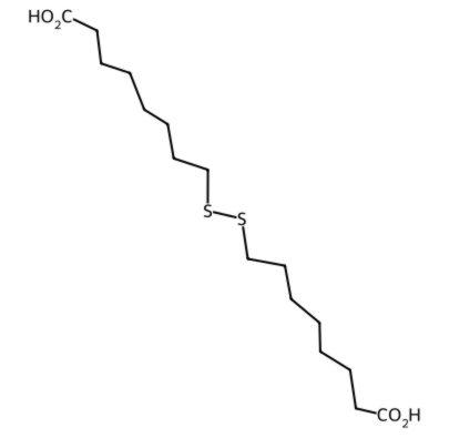 O=C(O)CCCCCCCSSCCCCCCCC(=O)O